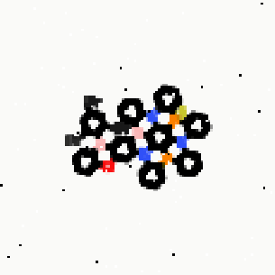 CC(C)c1cc(C(C)C)c(B2c3ccccc3Oc3cc4c(cc32)B2c3ccccc3N3c5ccccc5P5(=S)c6ccccc6N6c7ccccc7P7c8ccccc8N4c4c2c3c5c6c47)c(C(C)C)c1